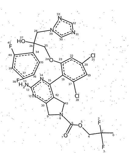 CC(F)(F)COC(=O)N1Cc2nc(N)nc(-c3c(Cl)cc(Cl)cc3OCC(O)(Cn3cncn3)c3ccc(F)cc3F)c2C1